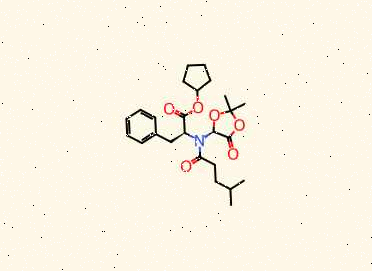 CC(C)CCC(=O)N([C@@H](Cc1ccccc1)C(=O)OC1CCCC1)[C@H]1OC(C)(C)OC1=O